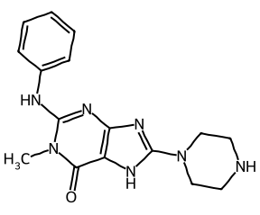 Cn1c(Nc2ccccc2)nc2nc(N3CCNCC3)[nH]c2c1=O